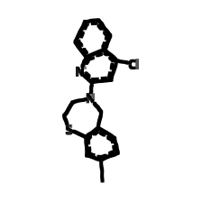 Cc1ccc2c(c1)SCCN(c1cc(Cl)c3ccccc3n1)C2